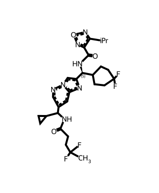 CC(C)c1nonc1C(=O)N[C@H](c1cn2ncc(C(NC(=O)CCC(C)(F)F)C3CC3)cc2n1)C1CCC(F)(F)CC1